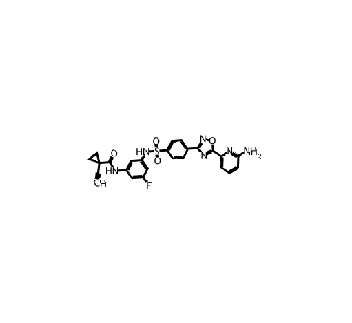 C#CC1(C(=O)Nc2cc(F)cc(NS(=O)(=O)c3ccc(-c4noc(-c5cccc(N)n5)n4)cc3)c2)CC1